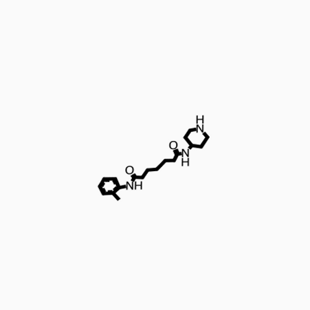 Cc1ccccc1NC(=O)CCCCCC(=O)NC1CCNCC1